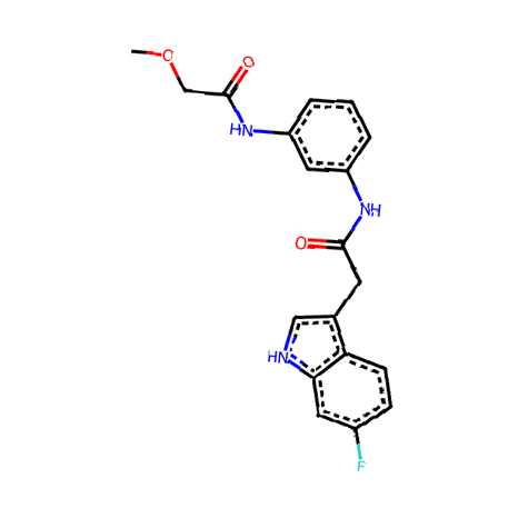 COCC(=O)Nc1cccc(NC(=O)Cc2c[nH]c3cc(F)ccc23)c1